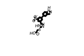 O=C(O)CSc1nnc(-c2cc(-c3ccc4[nH]ncc4c3)cc([N+](=O)[O-])c2)[nH]1